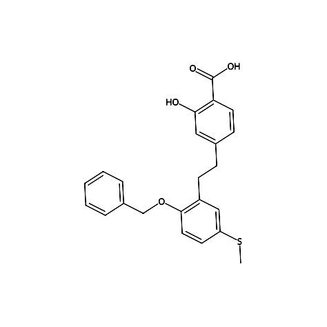 CSc1ccc(OCc2ccccc2)c(CCc2ccc(C(=O)O)c(O)c2)c1